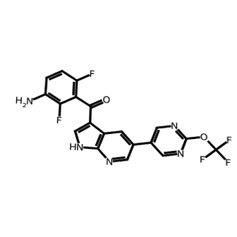 Nc1ccc(F)c(C(=O)c2c[nH]c3ncc(-c4cnc(OC(F)(F)F)nc4)cc23)c1F